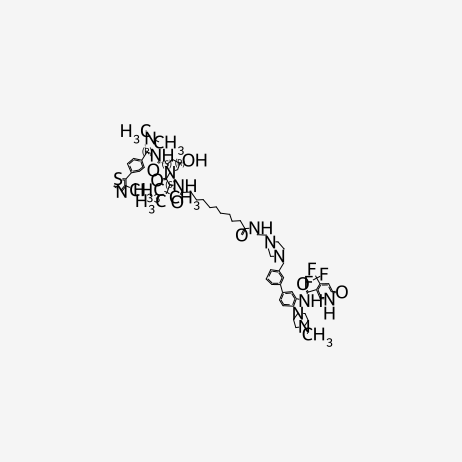 Cc1ncsc1-c1ccc([C@H](CN(C)C)NC(=O)[C@@H]2C[C@@H](O)CN2C(=O)[C@@H](NC(=O)CCCCCCCCCC(=O)NCCN2CCN(Cc3cccc(-c4ccc(N5CCN(C)CC5)c(NC(=O)c5c[nH]c(=O)cc5C(F)(F)F)c4)c3)CC2)C(C)(C)C)cc1